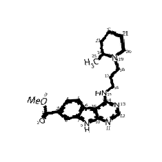 COC(=O)c1ccc2c(c1)[nH]c1ncnc(NCCCN3CCCCC3C)c12